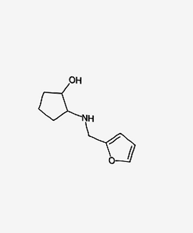 OC1CCCC1NCc1ccco1